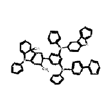 CC1CC2=C(C=C1c1cc(N(c3ccccc3)c3ccc(-c4ccccc4)cc3)cc(N(c3ccccc3)C3C=Cc4sc5ccccc5c4C3)c1)C1(C)CC=CC=C1N2c1ccccc1